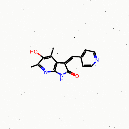 Cc1nc2c(c(C)c1O)C(=Cc1ccncc1)C(=O)N2